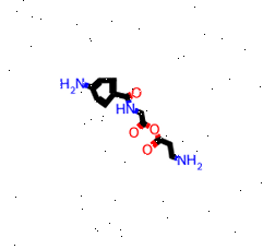 NCCC(=O)OC(=O)CNC(=O)c1ccc(N)cc1